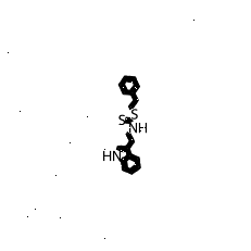 S=C(NCCc1c[nH]c2ccccc12)SCCc1ccccc1